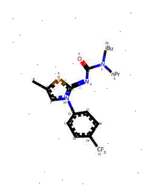 CCCN(C(=O)/N=c1\sc(C)cn1-c1ccc(C(F)(F)F)cc1)C(C)CC